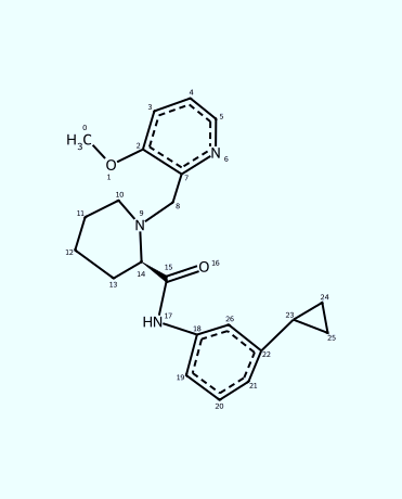 COc1cccnc1CN1CCCC[C@@H]1C(=O)Nc1cccc(C2CC2)c1